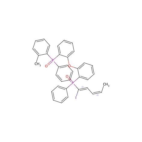 C/C=C\C=C(/I)P(=O)(c1ccccc1)c1ccccc1Oc1ccccc1P(=O)(c1ccccc1)c1ccccc1C